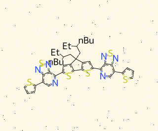 CCCCC(CC)CC1(CC(CC)CCCC)c2cc(-c3ncc(-c4cccs4)c4nsnc34)sc2-c2sc(-c3ncc(-c4cccs4)c4nsnc34)cc21